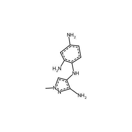 Cn1cc(Nc2ccc(N)cc2N)c(N)n1